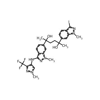 Cn1cc(Nc2nn(C)c3cc(C(C)(O)CCC(C)(O)c4ccc5c(I)nn(C)c5c4)ccc23)c(C(F)(F)F)n1